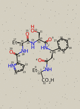 CC[C@H](NC(=O)C[C@@H](NC(=O)[C@H](CO)NC(=O)[C@H](CC)NC(=O)c1ccc[nH]1)c1ccccc1)C(=O)O